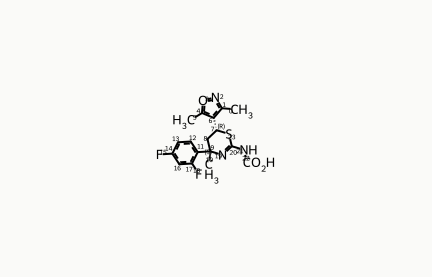 Cc1noc(C)c1[C@H]1C[C@@](C)(c2ccc(F)cc2F)N=C(NC(=O)O)S1